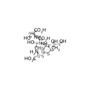 CC(O)C(N)C(=O)O.CC(O)CO.NC(Cc1ccccc1)C(=O)O.N[C@@H](CO)C(=O)O